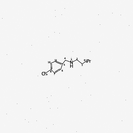 CC(C)CCNCc1ccc(Cl)cc1